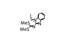 CSC(=Nc1nc2ccccc2n1SI)SC